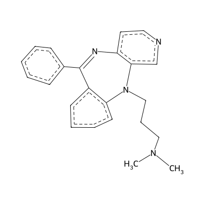 CN(C)CCCN1c2cnccc2N=C(c2ccccc2)c2ccccc21